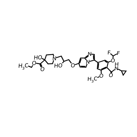 CCOC(=O)C1(O)CCN(CC(O)COc2ccn3c(-c4cc(OC)c(C(=O)NC5CC5)c(OC(F)F)c4)cnc3c2)CC1